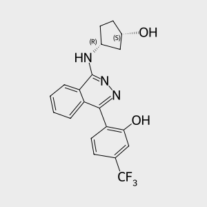 Oc1cc(C(F)(F)F)ccc1-c1nnc(N[C@@H]2CC[C@H](O)C2)c2ccccc12